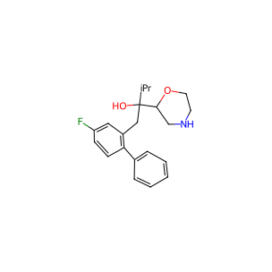 CC(C)C(O)(Cc1cc(F)ccc1-c1ccccc1)C1CNCCO1